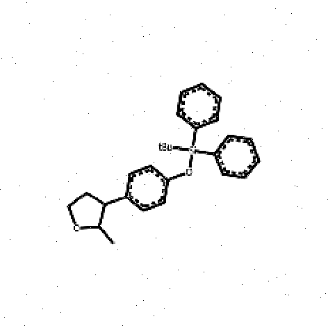 CC1OCCC1c1ccc(O[Si](c2ccccc2)(c2ccccc2)C(C)(C)C)cc1